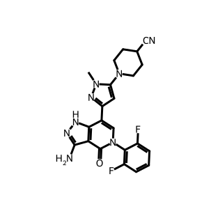 Cn1nc(-c2cn(-c3c(F)cccc3F)c(=O)c3c(N)n[nH]c23)cc1N1CCC(C#N)CC1